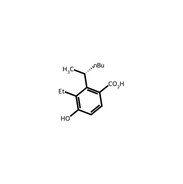 CCCC[C@@H](C)c1c(C(=O)O)ccc(O)c1CC